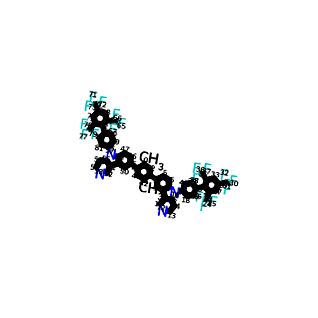 Cc1cc(-c2ccc3c(c2)c2cnccc2n3-c2ccc(-c3c(C(F)(F)F)cc(C(F)(F)F)cc3C(F)(F)F)cc2)c(C)cc1-c1ccc2c(c1)c1cnccc1n2-c1ccc(-c2c(C(F)(F)F)cc(C(F)(F)F)cc2C(F)(F)F)cc1